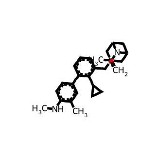 C=C(C)N1C2CC1CN(Cc1cccc(-c3ccc(NC)c(C)c3)c1C1CC1)C2